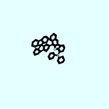 c1ccc(N(c2ccccc2)c2cccc3c2oc2c(-c4ccc5c(c4)C4(c6ccccc6-c6ccccc64)c4ccccc4-5)c4ccccc4cc23)cc1